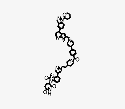 Cn1c(CN2CCC(c3ccc(C(=O)N4CCC(CCn5cc(-c6cccc7c6n(C)c(=O)n7C6CCC(=O)NC6=O)cn5)CC4)cc3)CC2)cc2c(-c3ccc4c(cnn4C4CCCCO4)c3)ccnc21